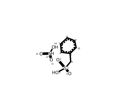 O=S(=O)(O)Cc1ccccc1.O=[SH](=O)O